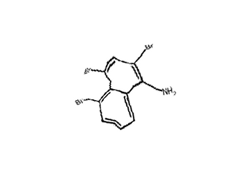 Nc1c(Br)cc(Br)c2c(Br)cccc12